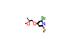 CO[C@@H](C)COc1cc(Br)nc(SC)c1